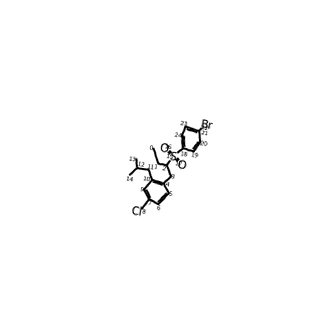 CCC(Cc1ccc(Cl)cc1CC(C)C)S(=O)(=O)c1ccc(Br)cc1